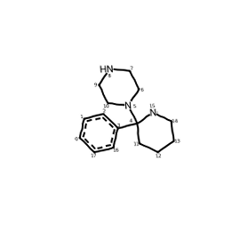 c1ccc(C2(N3CCNCC3)CCCC[N]2)cc1